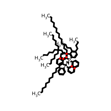 CCCCCCCCCCCCCCCCC(CCCCCCCCCCCCCC)(CCC(CCCCCC)(CCCCCC)CCCCCC)c1c(P(=[N+]=P(c2ccccc2)(c2ccccc2)c2ccccc2)(c2ccccc2)c2ccccc2)ccc(CCCC)c1CCCC